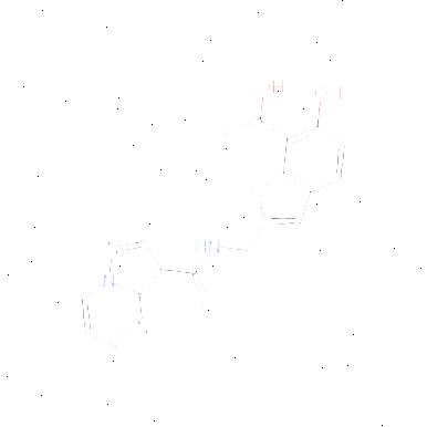 O=C(O)c1c(O)ccc2cc(CNC(=O)c3cnn4cccnc34)oc12